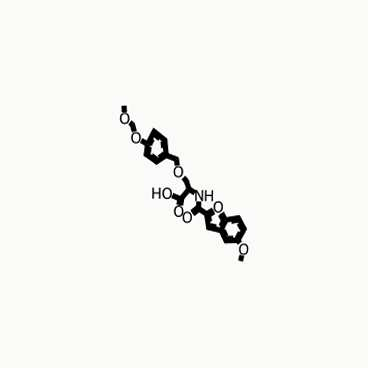 COCOc1ccc(COCC(NC(=O)c2cc3cc(OC)ccc3o2)C(=O)O)cc1